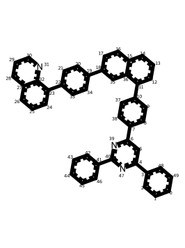 c1ccc(-c2cc(-c3ccc(-c4cccc5ccc(-c6ccc(-c7cccc8cccnc78)cc6)cc45)cc3)nc(-c3ccccc3)n2)cc1